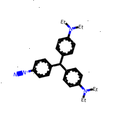 CCN(CC)c1ccc(C(c2ccc([N+]#N)cc2)c2ccc(N(CC)CC)cc2)cc1